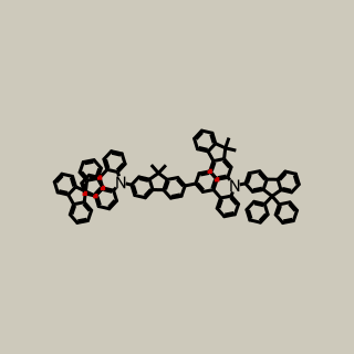 CC1(C)c2ccccc2-c2ccc(N(c3ccc4c(c3)C(c3ccccc3)(c3ccccc3)c3ccccc3-4)c3ccccc3-c3cccc(-c4ccc5c(c4)C(C)(C)c4cc(N(c6ccccc6-c6ccccc6)c6cccc7c6-c6ccccc6C76c7ccccc7-c7ccccc76)ccc4-5)c3)cc21